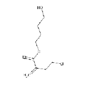 C=C(CCCl)C(=O)OCCCCO